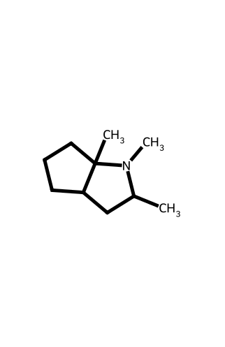 CC1CC2CCCC2(C)N1C